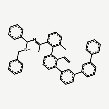 C=Cc1c(-c2cccc(-c3cccc(-c4ccccc4)c3)c2)cccc1-c1c(C)cccc1/C(C)=N/C(NCc1ccccc1)c1ccccc1